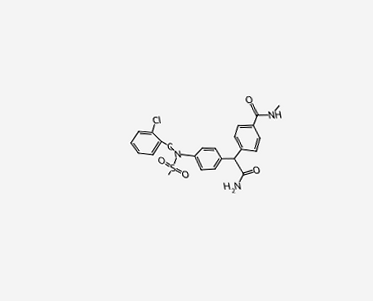 CNC(=O)c1ccc(C(C(N)=O)c2ccc(N(Cc3ccccc3Cl)S(C)(=O)=O)cc2)cc1